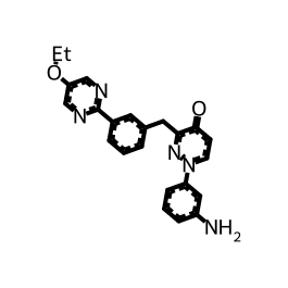 CCOc1cnc(-c2cccc(Cc3nn(-c4cccc(N)c4)ccc3=O)c2)nc1